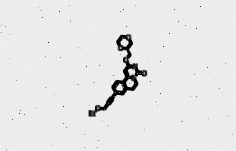 CCOCC#Cc1ccc2c(c1)CCn1c-2cc(OC[C@@H]2COCCO2)nc1=O